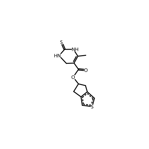 CC1=C(C(=O)OC2Cc3cscc3C2)CNC(=S)N1